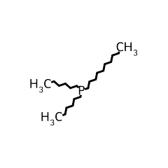 CCCCCCCCCCP(CCCCCC)CCCCCC